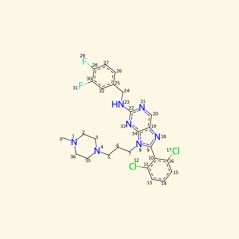 CN1CCN(CCCn2c(-c3c(Cl)cccc3Cl)nc3cnc(NCc4ccc(F)c(F)c4)nc32)CC1